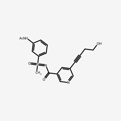 CC(=O)Nc1cccc(S(C)(=O)=NC(=O)c2cncc(C#CCCO)c2)c1